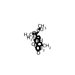 C=C1C[C@@H]2[C@H](C(=O)C[C@@]3(C)[C@H]2CC[C@]3(OC(C)=O)C(=O)COC(C)=O)[C@@]2(C)CCC(=O)C=C12